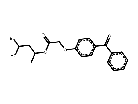 CCC(O)CC(C)OC(=O)COc1ccc(C(=O)c2ccccc2)cc1